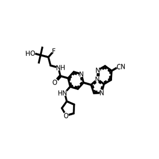 CC(C)(O)C(F)CNC(=O)c1cnc(-c2cnc3cc(C#N)cnn23)cc1NC1CCOC1